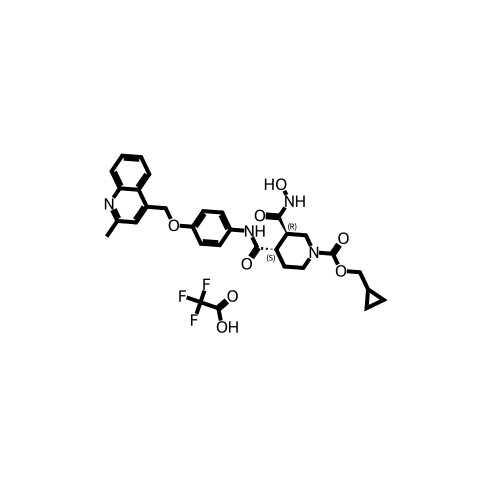 Cc1cc(COc2ccc(NC(=O)[C@H]3CCN(C(=O)OCC4CC4)C[C@@H]3C(=O)NO)cc2)c2ccccc2n1.O=C(O)C(F)(F)F